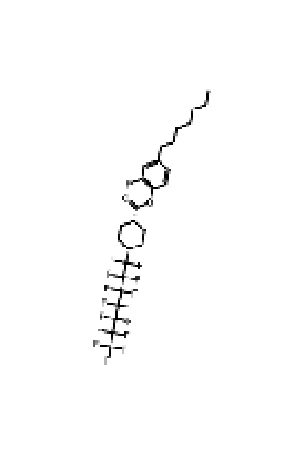 CCCCCCCc1ccc(OC(=O)[C@H]2CC[C@H](C(F)(F)C(F)(F)C(F)(F)C(F)(F)C(F)(F)C(F)(F)C(F)(F)F)CC2)c(F)c1